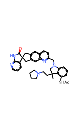 CC(=O)Nc1cccc2c1C(C)(CCN1CCCC1)CN2Cc1ccc2cc3c(cc2n1)CC1(C3)C(=O)Nc2ncccc21